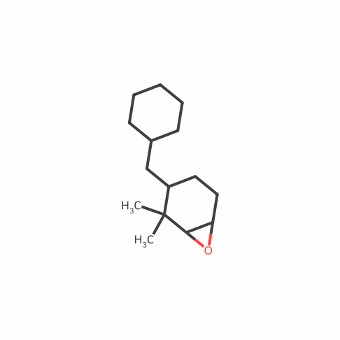 CC1(C)C(CC2CCCCC2)CCC2OC21